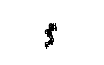 O=C(c1ccc2cc(Oc3ccc(C(F)F)cn3)ccc2n1)N1CCN[C@H](CO)C1